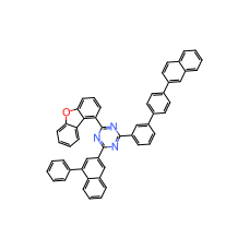 c1ccc(-c2cc(-c3nc(-c4cccc(-c5ccc(-c6ccc7ccccc7c6)cc5)c4)nc(-c4cccc5oc6ccccc6c45)n3)cc3ccccc23)cc1